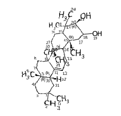 CC1(C)CC[C@]2(C)CCC3(C)C(=CCC4[C@@]5(C)CC(O)[C@H](O)C(C)(C)C5CC[C@]43C)[C@@H]2C1